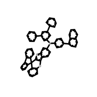 c1ccc(-c2cc(-c3ccccc3)cc(N(c3ccc(-c4cccc5ccccc45)cc3)c3ccc4c5c(sc4c3)C3(c4ccccc4O5)c4ccccc4-c4ccccc43)c2)cc1